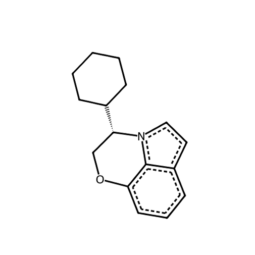 c1cc2c3c(c1)ccn3[C@@H](C1CCCCC1)CO2